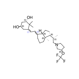 C[C@H](CN1CC[C@@H](OC(F)(F)F)C1)[C@H]1CC[C@H]2/C(=C/C=C3/C[C@@H](O)C[C@H](O)C3(C)C)CCC[C@]12C